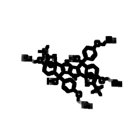 CC[C@@H](C)COc1ccc(C(O)(c2ccc(OC[C@@H](C)CC)cc2)c2c(-c3ccc([SiH](C)C)s3)sc3c(C(O)(c4ccc(OC[C@H](C)CC)cc4)c4ccc(OC[C@@H](C)CC)cc4)c(-c4ccc([Si](C)(C)C)s4)sc23)cc1